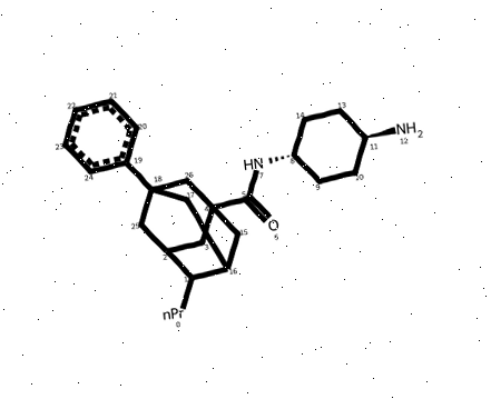 CCCC1C2CC3(C(=O)N[C@H]4CC[C@H](N)CC4)CC1CC(c1ccccc1)(C2)C3